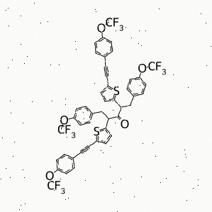 O=C(C(Cc1ccc(OC(F)(F)F)cc1)c1ccc(C#Cc2ccc(OC(F)(F)F)cc2)s1)C(Cc1ccc(OC(F)(F)F)cc1)c1ccc(C#Cc2ccc(OC(F)(F)F)cc2)s1